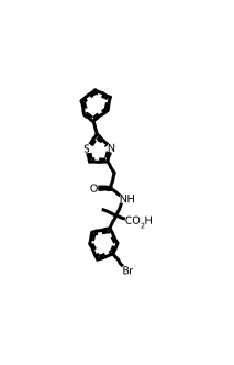 CC(NC(=O)Cc1csc(-c2ccccc2)n1)(C(=O)O)c1cccc(Br)c1